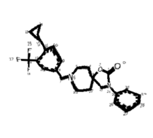 O=C1OC2(CCN(Cc3ccc(C4CC4)c(C(F)(F)F)c3)CC2)CN1c1ccccc1